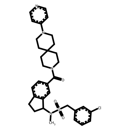 CN(C1CCc2ccc(C(=O)N3CCC4(CC3)CCN(c3ccncc3)CC4)cc21)S(=O)(=O)Cc1cccc(Cl)c1